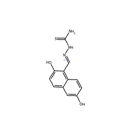 NC(=S)N/N=C/c1c(O)ccc2cc(O)ccc12